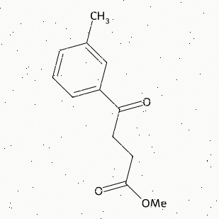 COC(=O)CCC(=O)c1cccc(C)c1